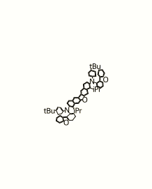 CC(C)c1c(N(C2=CC=C(C(C)(C)C)CC2)C2=CCCc3oc4ccccc4c32)ccc2cc3c(cc12)oc1cc2c(C(C)C)c(N(c4ccc(C(C)(C)C)cc4)c4cccc5oc6ccccc6c45)ccc2cc13